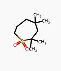 CC1(C)CCCS(=O)(=O)C(C)(C)C1